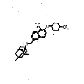 CC12CC3CC(C)(C1)CC(NCc1ccc4c(C(F)(F)F)c(OC5CCC(C(F)(F)F)CC5)ccc4c1)(C3)C2